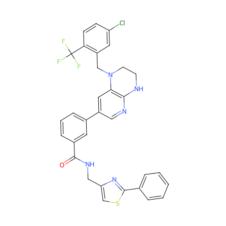 O=C(NCc1csc(-c2ccccc2)n1)c1cccc(-c2cnc3c(c2)N(Cc2cc(Cl)ccc2C(F)(F)F)CCN3)c1